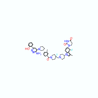 Cc1cc(C(=O)N2CCC(F)(CN3CCC(n4cc(C)c5c(F)c(N6CCC(=O)NC6=O)ccc54)CC3)CC2)ccc1[C@H]1CCCN(c2cc(-c3ccccc3O)nnc2N)C1